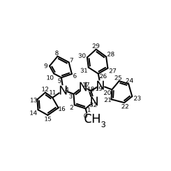 Cc1cc(N(c2ccccc2)c2ccccc2)nc(N(c2ccccc2)c2ccccc2)n1